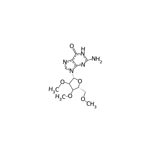 COC[C@H]1O[C@@H](n2cnc3c(=O)[nH]c(N)nc32)C(OC)C1OC